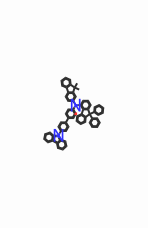 CC1(C)c2ccccc2-c2ccc(N(c3ccc(-c4ccc(-n5c6ccccc6c6ccccc65)cc4)cc3)c3cccc4c3-c3ccccc3C4(c3ccccc3)c3ccccc3)cc21